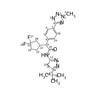 Cn1nnc(-c2ccc(C(C(=O)Nc3nnc(C(C)(C)C)s3)C3CCC(F)(F)C3)cc2)n1